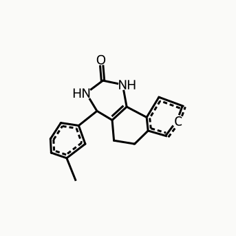 Cc1cccc(C2NC(=O)NC3=C2CCc2ccccc23)c1